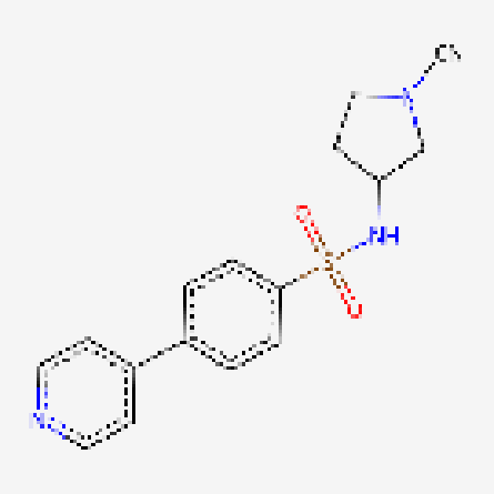 N#CN1CCC(NS(=O)(=O)c2ccc(-c3ccncc3)cc2)C1